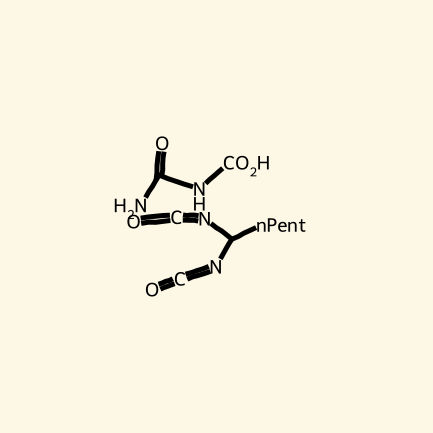 CCCCCC(N=C=O)N=C=O.NC(=O)NC(=O)O